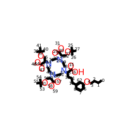 CCCCOc1cccc(CCCC(C(=O)O)N2CCN(C(COC(C)(C)C)C(=O)OC)CCN(C(COC(C)(C)C)C(=O)OC)CCN(C(COC(C)(C)C)C(=O)OC)CC2)c1